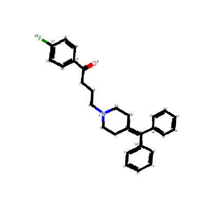 O=C(CCCN1CCC(=C(c2ccccc2)c2ccccc2)CC1)c1ccc(F)cc1